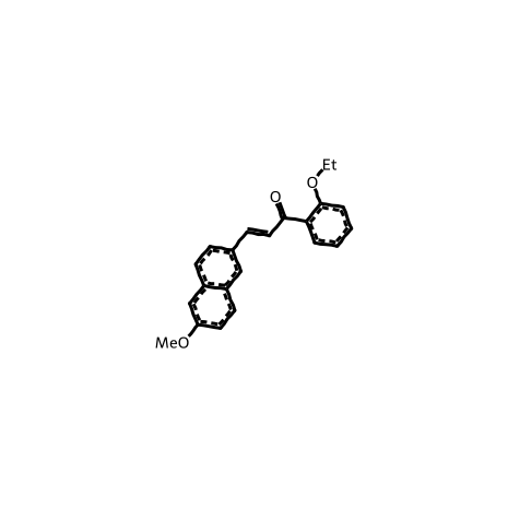 CCOc1ccccc1C(=O)C=Cc1ccc2cc(OC)ccc2c1